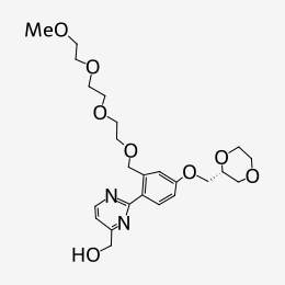 COCCOCCOCCOCc1cc(OC[C@H]2COCCO2)ccc1-c1nccc(CO)n1